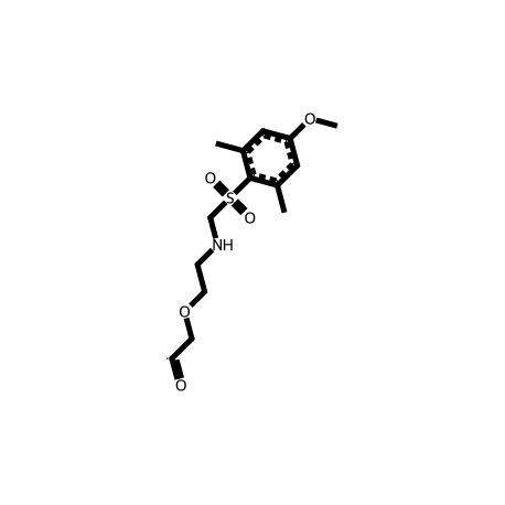 COc1cc(C)c(S(=O)(=O)CNCCOC[C]=O)c(C)c1